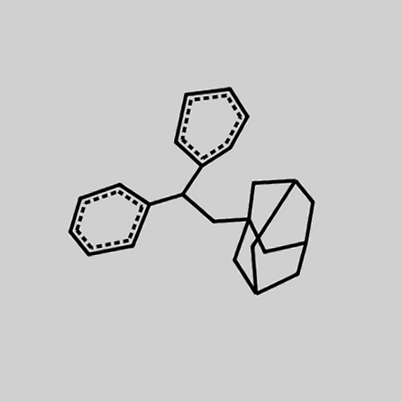 c1ccc(C(CC23CC4CC(CC(C4)C2)C3)c2ccccc2)cc1